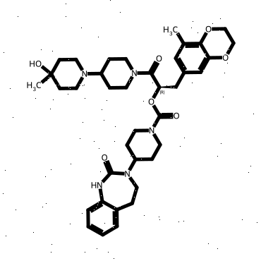 Cc1cc(C[C@@H](OC(=O)N2CCC(N3CCc4ccccc4NC3=O)CC2)C(=O)N2CCC(N3CCC(C)(O)CC3)CC2)cc2c1OCCO2